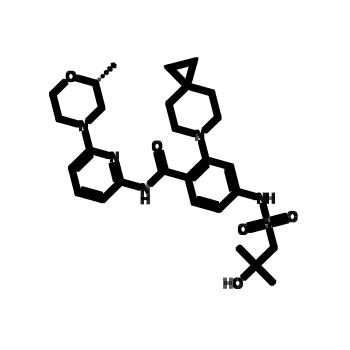 C[C@@H]1CN(c2cccc(NC(=O)c3ccc(NS(=O)(=O)CC(C)(C)O)cc3N3CCC4(CC3)CC4)n2)CCO1